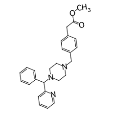 COC(=O)Cc1ccc(CN2CCN(C(c3ccccc3)c3ccccn3)CC2)cc1